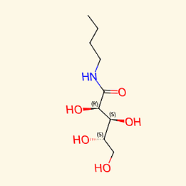 CCCCNC(=O)[C@H](O)[C@@H](O)[C@@H](O)CO